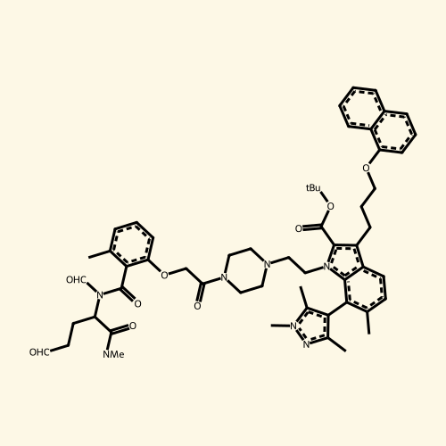 CNC(=O)C(CCC=O)N(C=O)C(=O)c1c(C)cccc1OCC(=O)N1CCN(CCn2c(C(=O)OC(C)(C)C)c(CCCOc3cccc4ccccc34)c3ccc(C)c(-c4c(C)nn(C)c4C)c32)CC1